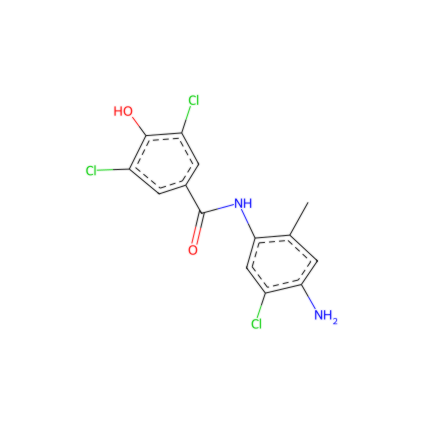 Cc1cc(N)c(Cl)cc1NC(=O)c1cc(Cl)c(O)c(Cl)c1